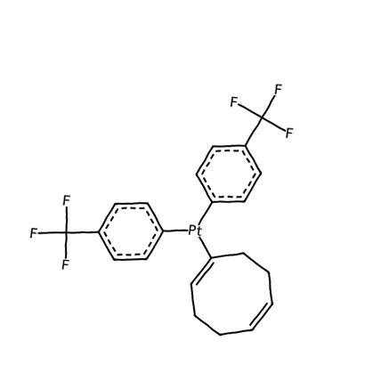 FC(F)(F)c1cc[c]([Pt]([C]2=CCCC=CCC2)[c]2ccc(C(F)(F)F)cc2)cc1